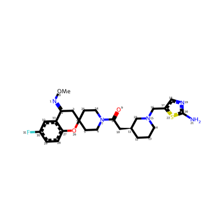 CO/N=C1\CC2(CCN(C(=O)C[C@@H]3CCCN(Cc4cnc(N)s4)C3)CC2)Oc2ccc(F)cc21